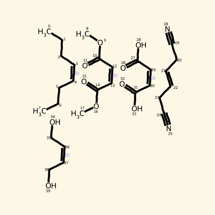 CCC/C=C\CCC.COC(=O)/C=C\C(=O)OC.N#CCC=CCC#N.O=C(O)/C=C\C(=O)O.OC/C=C\CO